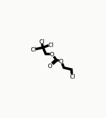 O=C(OCCCl)OCC(Cl)(Cl)Cl